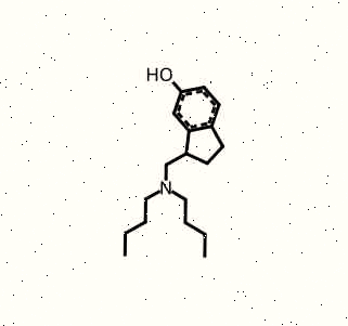 CCCCN(CCCC)CC1CCc2ccc(O)cc21